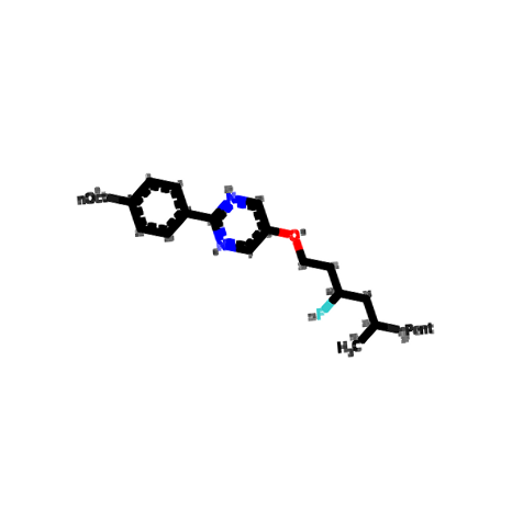 CCCCCCCCc1ccc(-c2ncc(OCCC(F)CC(C)CCCCC)cn2)cc1